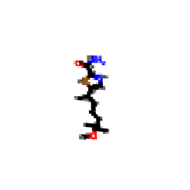 COC(C)(C)CCCC(C)c1cnc(C(N)=O)s1